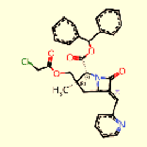 C[C@@]1(COC(=O)CCl)CC2/C(=C\c3ccccn3)C(=O)N2[C@H]1C(=O)OC(c1ccccc1)c1ccccc1